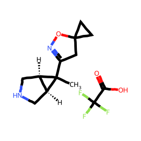 CC1(C2=NOC3(CC3)C2)[C@@H]2CNC[C@@H]21.O=C(O)C(F)(F)F